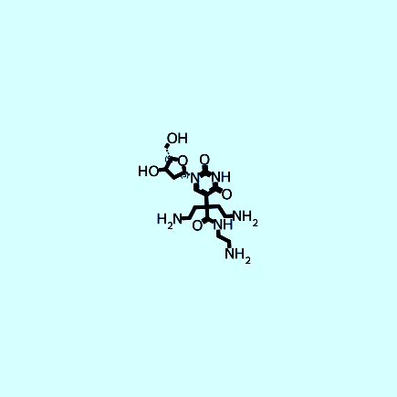 NCCNC(=O)C(CCN)(CCN)c1cn([C@@H]2CC(O)[C@H](CO)O2)c(=O)[nH]c1=O